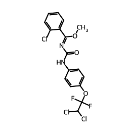 COC(=NC(=O)Nc1ccc(OC(F)(F)C(Cl)Cl)cc1)c1ccccc1Cl